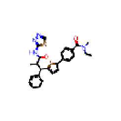 CCN(C)C(=O)c1ccc(-c2ccc(C(c3ccccc3)C(C)C(=O)Nc3nncs3)s2)cc1